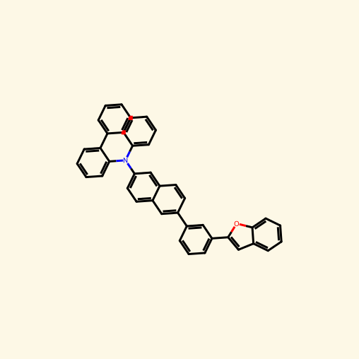 c1ccc(-c2ccccc2N(c2ccccc2)c2ccc3cc(-c4cccc(-c5cc6ccccc6o5)c4)ccc3c2)cc1